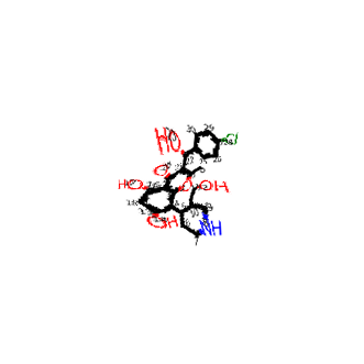 Cc1oc2c(C3CCNCC3CO)c(O)cc(O)c2c(=O)c1C(O)c1ccc(Cl)cc1